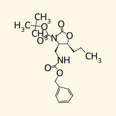 CCC[C@@H]1OC(=O)N(C(=O)OC(C)(C)C)[C@@H]1CNC(=O)OCc1ccccc1